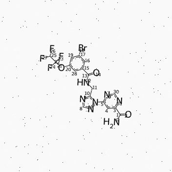 NC(=O)c1cc(-n2ncnc2CNC(=O)c2cc(Br)cc(OC(F)(F)C(F)F)c2)ncn1